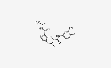 C[C@H]1Cn2cnc(C(=O)N[C@H](C)C(F)(F)F)c2CN1C(=O)Nc1ccc(F)c(C#N)c1